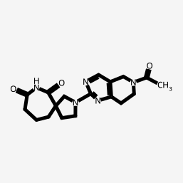 CC(=O)N1CCc2nc(N3CCC4(CCCC(=O)NC4=O)C3)ncc2C1